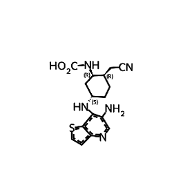 N#CC[C@H]1CC[C@H](Nc2c(N)cnc3ccsc23)C[C@H]1NC(=O)O